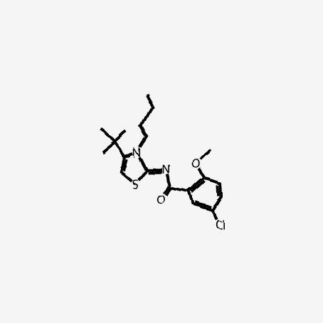 CCCCn1c(C(C)(C)C)cs/c1=N\C(=O)c1cc(Cl)ccc1OC